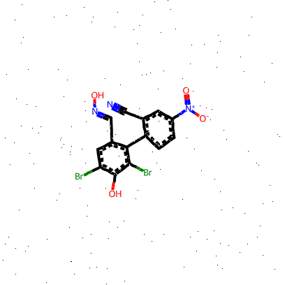 N#Cc1cc([N+](=O)[O-])ccc1-c1c(C=NO)cc(Br)c(O)c1Br